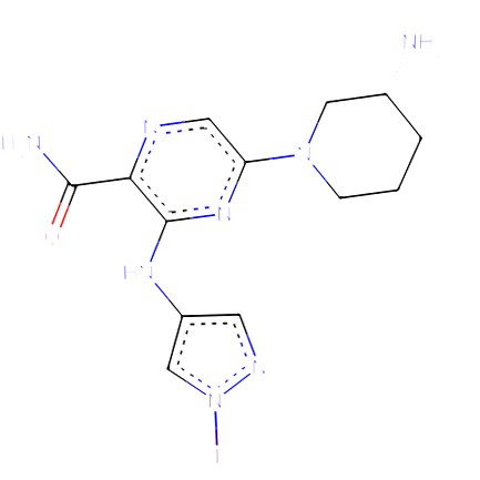 C[C@@H]1[C@H](N)CCCN1c1cnc(C(N)=O)c(Nc2cnn(I)c2)n1